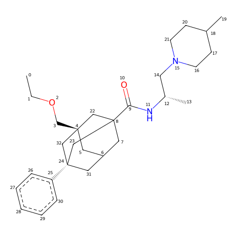 CCOC[C@]12CC3CC(C(=O)N[C@@H](C)CN4CCC(C)CC4)(C1)C[C@@](c1ccccc1)(C3)C2